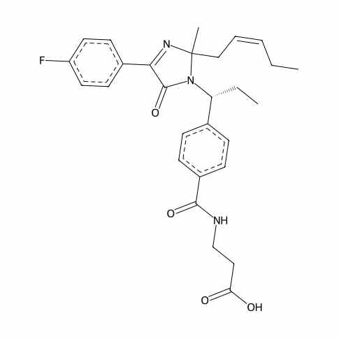 CC/C=C\CC1(C)N=C(c2ccc(F)cc2)C(=O)N1[C@H](CC)c1ccc(C(=O)NCCC(=O)O)cc1